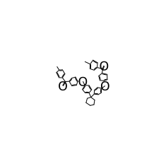 Cc1ccc(C(=O)c2ccc(Oc3ccc(C4(c5ccc(Oc6ccc(C(=O)c7ccc(C)cc7)cc6)cc5)CCCCC4)cc3)cc2)cc1